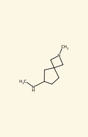 CNC1CCC2(C1)CN(C)C2